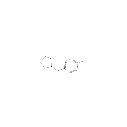 [O-][S+]1CCCC1Cc1ccc(Cl)nc1